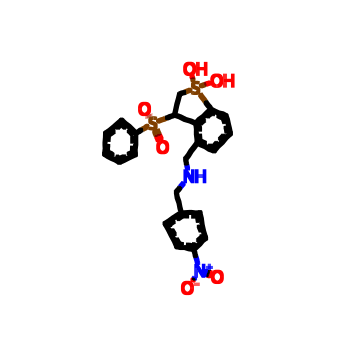 O=[N+]([O-])c1ccc(CNCc2cccc3c2C(S(=O)(=O)c2ccccc2)CS3(O)O)cc1